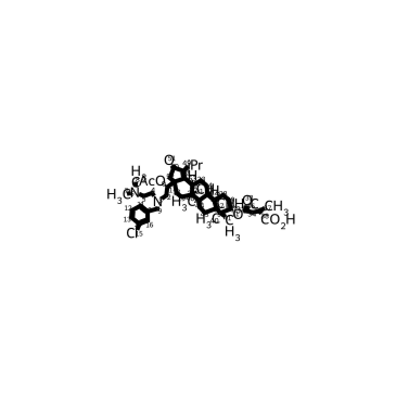 CC(=O)O[C@@H](CN(CCN(C)C)Cc1cccc(Cl)c1)C12CC[C@]3(C)[C@H](CC[C@@H]4[C@@]5(C)CC[C@H](OC(=O)CC(C)(C)C(=O)O)C(C)(C)C5CC[C@]43C)C1=C(C(C)C)C(=O)C2